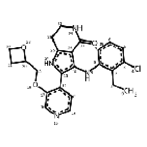 CCc1c(Cl)cccc1Nc1c(-c2ccncc2OCC2CCO2)[nH]c2c1C(=O)NCC2